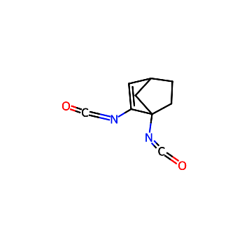 O=C=NC1=CC2CCC1(N=C=O)C2